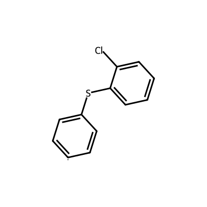 Clc1ccccc1Sc1cc[c]cc1